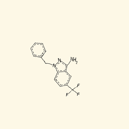 Nc1nn(Cc2ccccc2)c2ccc(C(F)(F)F)cc12